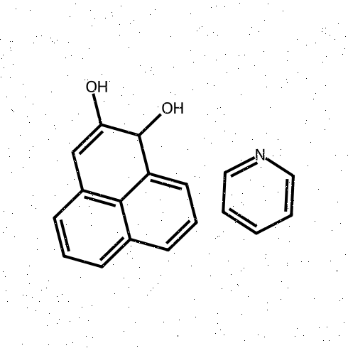 OC1=Cc2cccc3cccc(c23)C1O.c1ccncc1